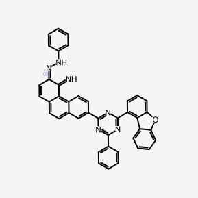 N=C1/C(=N\Nc2ccccc2)C=Cc2ccc3cc(-c4nc(-c5ccccc5)nc(-c5cccc6oc7ccccc7c56)n4)ccc3c21